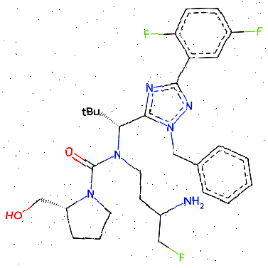 CC(C)(C)[C@H](c1nc(-c2cc(F)ccc2F)nn1Cc1ccccc1)N(CCC(N)CF)C(=O)N1CCC[C@@H]1CO